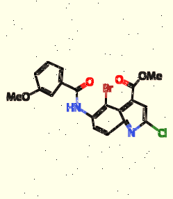 COC(=O)c1cc(Cl)nc2ccc(NC(=O)c3cccc(OC)c3)c(Br)c12